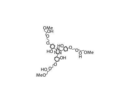 COCC(O)COCCOc1ccc(-c2nc(-c3ccc(OCCOCC(O)COC)cc3O)nc(-c3ccc(OCCOCC(O)COC)cc3O)n2)c(O)c1